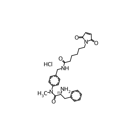 CN(C(=O)[C@@H](N)Cc1ccccc1)c1ccc(CNC(=O)CCCCCN2C(=O)C=CC2=O)cc1.Cl